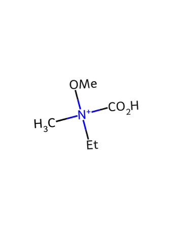 CC[N+](C)(OC)C(=O)O